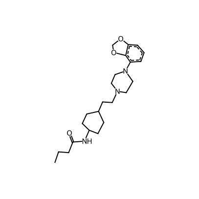 CCCC(=O)NC1CCC(CCN2CCN(c3cccc4c3OCO4)CC2)CC1